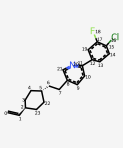 C=C[C@H]1CC[C@H](CCc2ccc(-c3ccc(Cl)c(F)c3)nc2)CC1